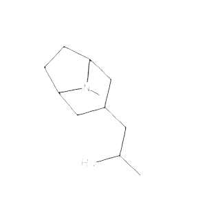 CC(S)CC1CC2CCC(C1)N2C